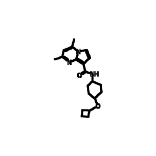 Cc1cc(C)n2ccc(C(=O)NC3CCC(OC4CCC4)CC3)c2n1